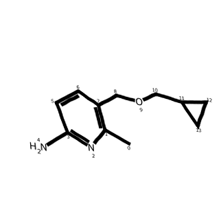 Cc1nc(N)ccc1COCC1CC1